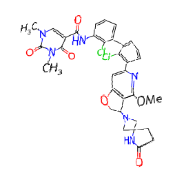 COc1nc(-c2cccc(-c3cccc(NC(=O)c4cn(C)c(=O)n(C)c4=O)c3Cl)c2Cl)cc2c1[C@@H](N1CC3(CCC(=O)N3)C1)CO2